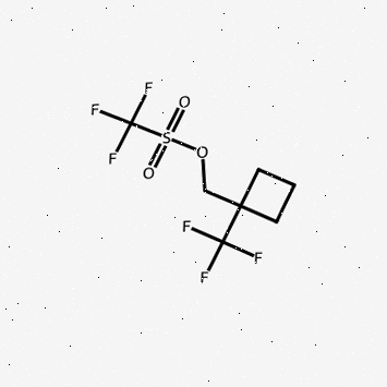 O=S(=O)(OCC1(C(F)(F)F)CCC1)C(F)(F)F